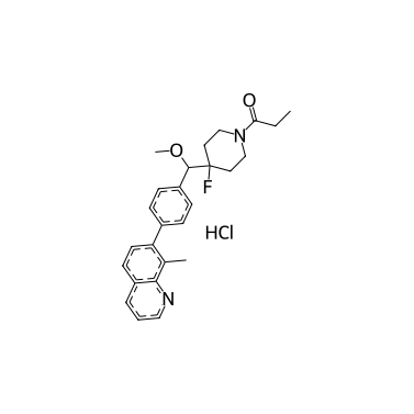 CCC(=O)N1CCC(F)(C(OC)c2ccc(-c3ccc4cccnc4c3C)cc2)CC1.Cl